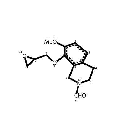 COc1ccc2c(c1OCC1CO1)CN(C=O)CC2